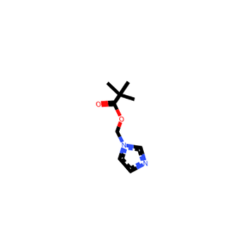 CC(C)(C)C(=O)OCn1c[c]nc1